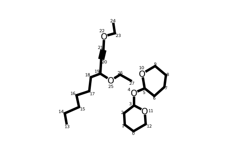 C1CCC(OC2CCCCO2)OC1.CCCCCCC(C#COCC)OCC